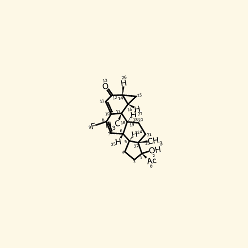 CC(=O)[C@@]1(O)CC[C@H]2[C@@H]3C=C(F)C4=CC(=O)[C@@H]5C[C@@H]5[C@]4(C)[C@H]3CC[C@@]21C